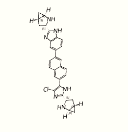 Clc1nc([C@@H]2C[C@@H]3C[C@H]3N2)[nH]c1-c1ccc2cc(-c3ccc4[nH]c([C@@H]5C[C@@H]6C[C@H]6N5)nc4c3)ccc2c1